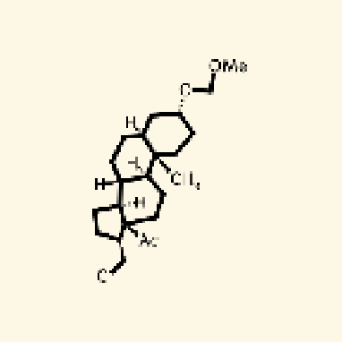 COCO[C@@H]1CC[C@@]2(C)[C@@H](CC[C@@H]3[C@@H]2CC[C@]2(C(C)=O)[C@@H](CCl)CC[C@@H]32)C1